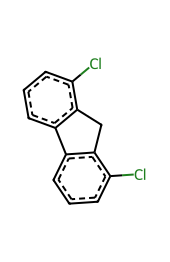 Clc1cccc2c1Cc1c(Cl)cccc1-2